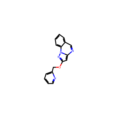 c1ccc(COc2cc3ncc4ccccc4n3n2)nc1